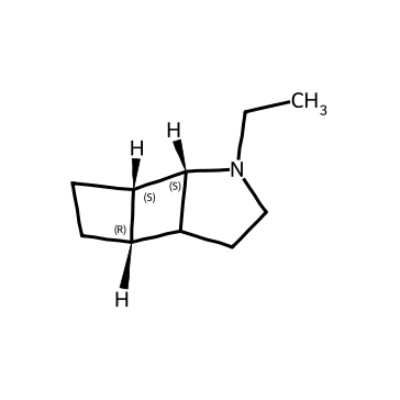 CCN1CCC2[C@@H]1[C@H]1CC[C@@H]21